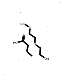 CCCC(=O)O.CCCCOCCOCCO